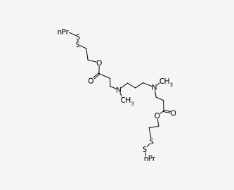 CCCSSCCOC(=O)CCN(C)CCCN(C)CCC(=O)OCCSSCCC